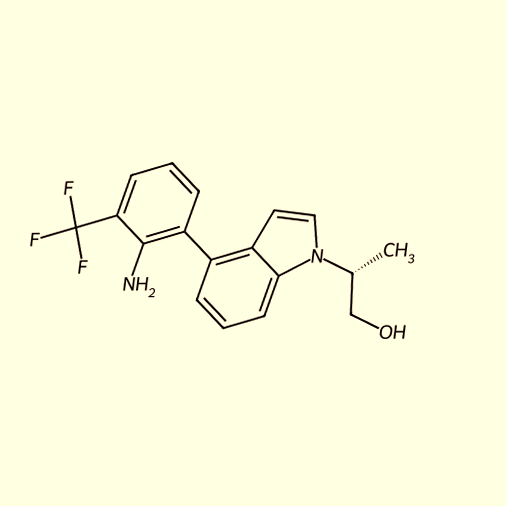 C[C@H](CO)n1ccc2c(-c3cccc(C(F)(F)F)c3N)cccc21